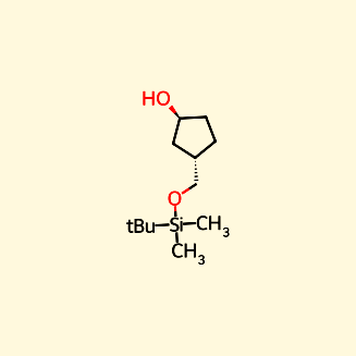 CC(C)(C)[Si](C)(C)OC[C@H]1CC[C@H](O)C1